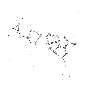 NC(=O)c1cc(F)cc2[nH]c3c(C4CCN(CC5CC5)CC4)cnn3c12